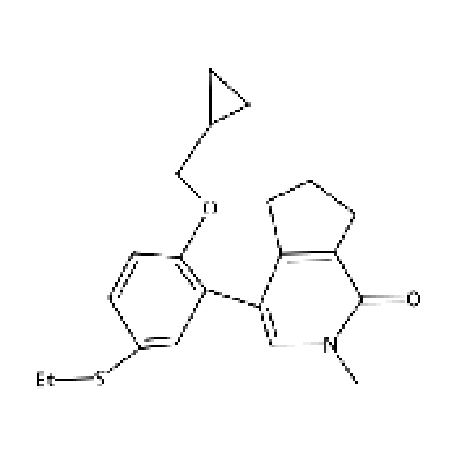 CCSc1ccc(OCC2CC2)c(-c2cn(C)c(=O)c3c2CCC3)c1